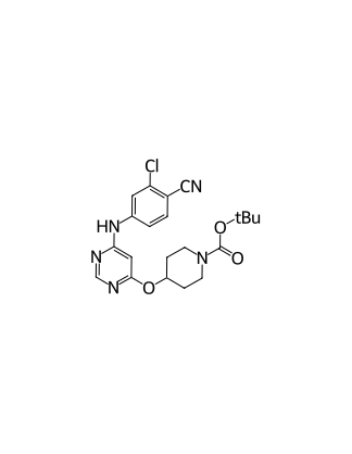 CC(C)(C)OC(=O)N1CCC(Oc2cc(Nc3ccc(C#N)c(Cl)c3)ncn2)CC1